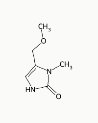 COCc1c[nH]c(=O)n1C